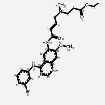 CCOC(=O)CCN(C)CC=CC(=O)Nc1cc2c(Nc3cccc(Br)c3)ncnc2cc1OC